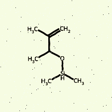 C=C(C)C(C)O[SiH](C)C